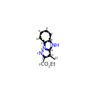 CCOC(=O)c1nn2c([nH]c3ccccc32)c1C